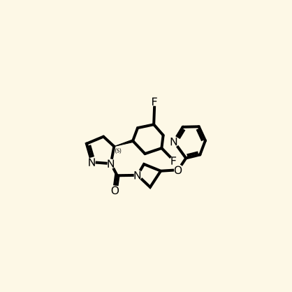 O=C(N1CC(Oc2ccccn2)C1)N1N=CC[C@H]1C1CC(F)CC(F)C1